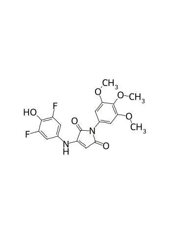 COc1cc(N2C(=O)C=C(Nc3cc(F)c(O)c(F)c3)C2=O)cc(OC)c1OC